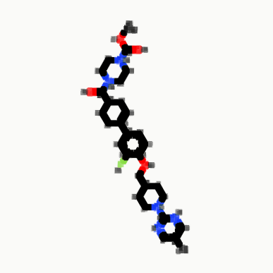 CCc1cnc(N2CCC(COc3ccc(C4=CCC(C(=O)N5CCN(C(=O)OC(C)(C)C)CC5)CC4)cc3F)CC2)nc1